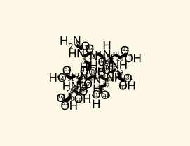 NCC(=O)N[C@@H](CCC(=O)O)C(=O)NCC(=O)N[C@@H](CCC(=O)O)C(=O)N[C@@H](CCC(=O)O)C(=O)N[C@@H](CCC(=O)O)C(=O)NCC(=O)N[C@@H](CCC(=O)O)C(=O)N[C@@H](CCC(=O)O)C(=O)O